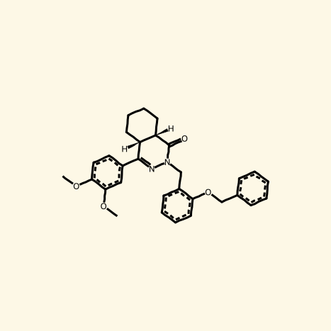 COc1ccc(C2=NN(Cc3ccccc3OCc3ccccc3)C(=O)[C@H]3CCCC[C@@H]23)cc1OC